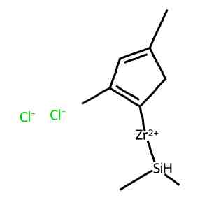 CC1=CC(C)=[C]([Zr+2][SiH](C)C)C1.[Cl-].[Cl-]